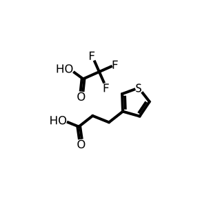 O=C(O)C(F)(F)F.O=C(O)CCc1ccsc1